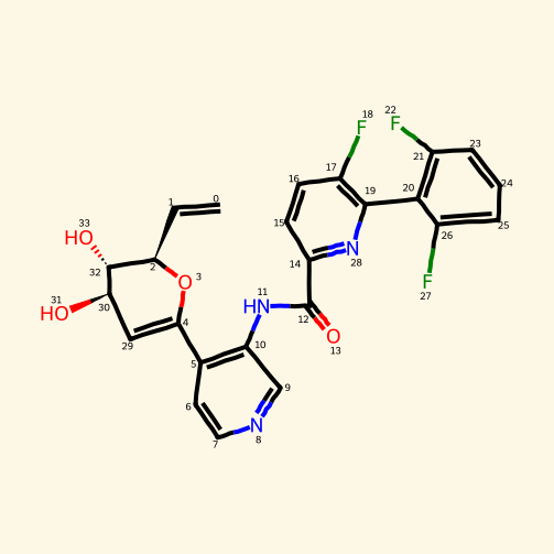 C=C[C@H]1OC(c2ccncc2NC(=O)c2ccc(F)c(-c3c(F)cccc3F)n2)=C[C@@H](O)[C@@H]1O